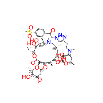 CC[C@H]1OC(=O)[C@H](C)[C@@H](O[C@H]2C[C@@](C)(OC)[C@@H](O)[C@H](C)O2)[C@H](C)[C@@H](O[C@@H]2O[C@H](C)C[C@H](N(C)CCc3cn(CC(=O)c4ccc(S(C)(=O)=O)cc4)nn3)[C@H]2O)[C@](C)(O)C[C@@H](C)CN(C)[C@H](C)[C@@H](O)[C@]1(C)O